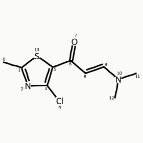 Cc1nc(Cl)c(C(=O)/C=C/N(C)C)s1